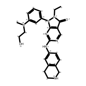 CCn1c(=O)c2cnc(Nc3ccc4c(c3)CCNC4)nc2n1-c1cccc(N(C)CCO)c1